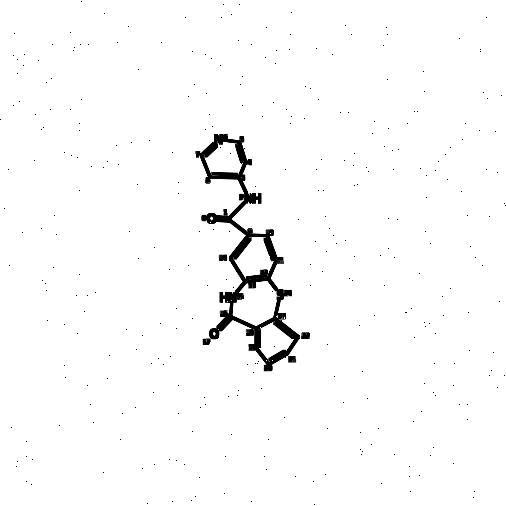 O=C(Nc1ccncc1)c1ccc2c(c1)NC(=O)c1ccccc1S2